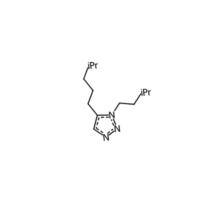 CC(C)CCCc1cnnn1CCC(C)C